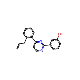 C=CCc1ccccc1-c1ccnc(-c2cccc(O)c2)n1